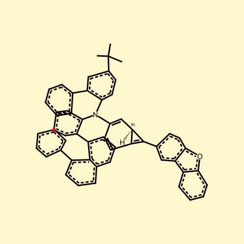 CC(C)(C)c1ccc(N(C2=C[C@@H]3C(=C3c3ccc4oc5ccccc5c4c3)C=C2)c2ccccc2-c2cccc3cccc(-c4ccccc4)c23)c(-c2ccccc2)c1